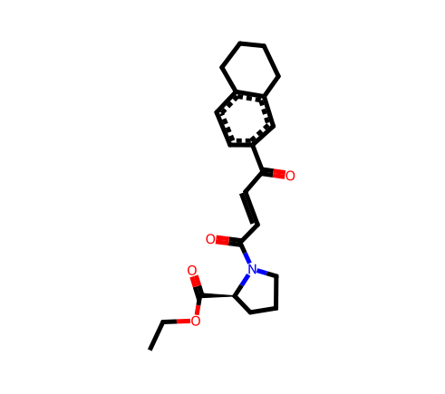 CCOC(=O)[C@@H]1CCCN1C(=O)/C=C/C(=O)c1ccc2c(c1)CCCC2